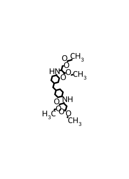 CCOC(=O)CC(NC1CCC(CC2CCC(NC(COC(=O)CC)C(=O)OCC)CC2)CC1)C(=O)OCC